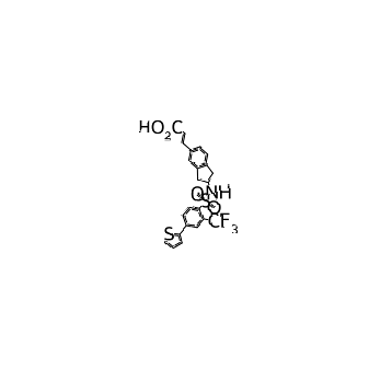 O=C(O)C=Cc1ccc2c(c1)CC(NS(=O)(=O)c1ccc(-c3cccs3)cc1C(F)(F)F)C2